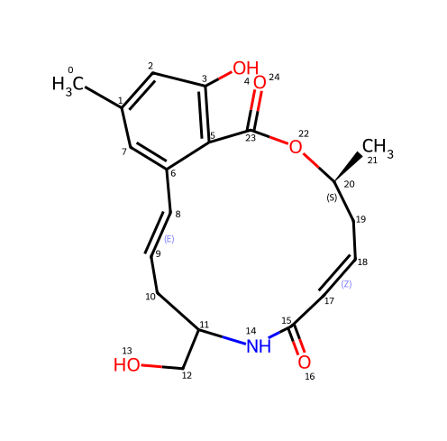 Cc1cc(O)c2c(c1)/C=C/CC(CO)NC(=O)/C=C\C[C@H](C)OC2=O